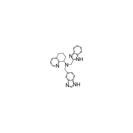 c1cnc2c(c1)CCCC2N(Cc1ccc2[nH]cnc2c1)Cc1nc2ccccc2[nH]1